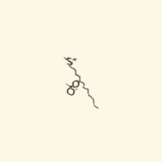 CC(=O)[O-].CCCCCCCCCCCC[S+](C)C